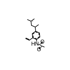 C=Cc1cc(C(C)C[C](C)C)ccc1NS(C)(=O)=O